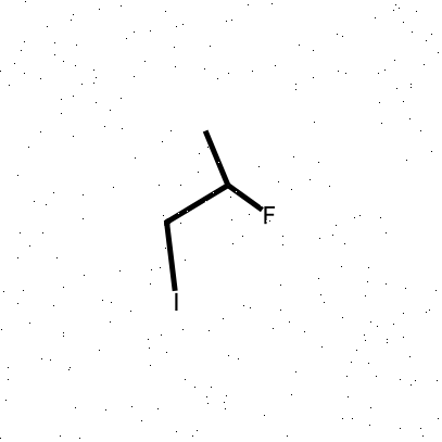 CC(F)CI